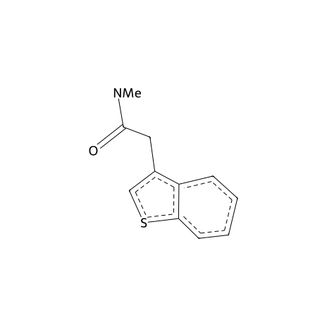 CNC(=O)Cc1csc2ccccc12